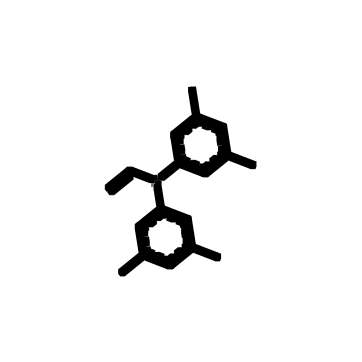 C=CN(c1cc(C)cc(C)c1)c1cc(C)cc(C)c1